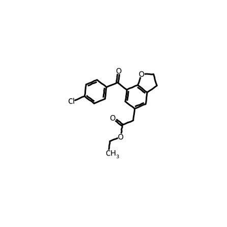 CCOC(=O)Cc1cc2c(c(C(=O)c3ccc(Cl)cc3)c1)OCC2